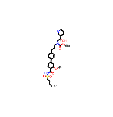 CC(=O)OCCCS(=O)(=O)NC(=O)c1ccc(-c2ccc(CCCN(C[C@@H](O)c3cccnc3)C(=O)OC(C)(C)C)cc2)cc1OC(C)C